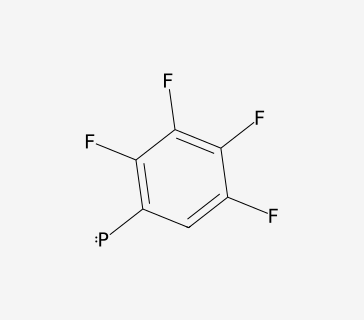 Fc1cc([P])c(F)c(F)c1F